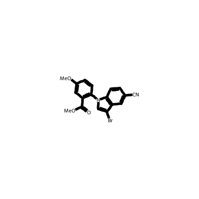 COC(=O)c1cc(OC)ccc1-n1cc(Br)c2cc(C#N)ccc21